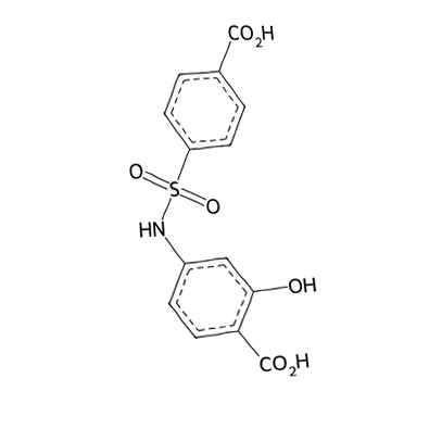 O=C(O)c1ccc(S(=O)(=O)Nc2ccc(C(=O)O)c(O)c2)cc1